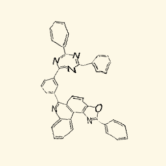 c1ccc(-c2nc(-c3ccccc3)nc(-c3cccc(-c4nc5ccccc5c5c4ccc4oc(-c6ccccc6)nc45)c3)n2)cc1